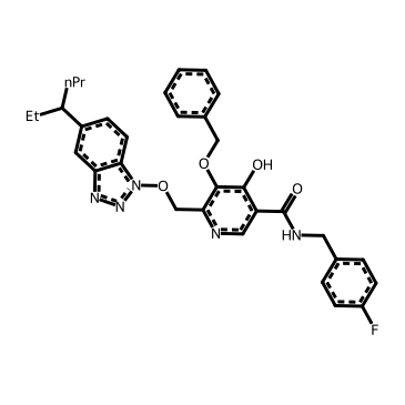 CCCC(CC)c1ccc2c(c1)nnn2OCc1ncc(C(=O)NCc2ccc(F)cc2)c(O)c1OCc1ccccc1